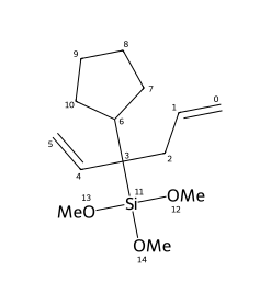 C=CCC(C=C)(C1CCCC1)[Si](OC)(OC)OC